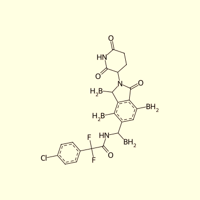 Bc1cc(C(B)NC(=O)C(F)(F)c2ccc(Cl)cc2)c(B)c2c1C(=O)N(C1CCC(=O)NC1=O)C2B